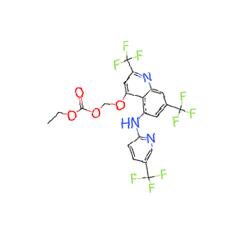 CCOC(=O)OCOc1cc(C(F)(F)F)nc2cc(C(F)(F)F)cc(Nc3ccc(C(F)(F)F)cn3)c12